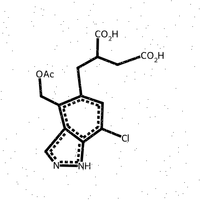 CC(=O)OCc1c(CC(CC(=O)O)C(=O)O)cc(Cl)c2[nH]ncc12